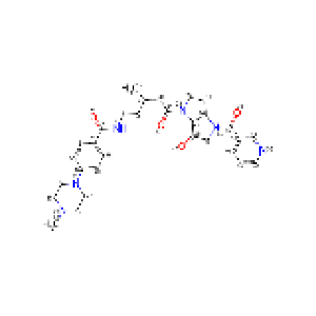 CC(CCNC(=O)c1ccc(N2CCN(C)CC2)cc1)CC(=O)N1CCC2C1C(=O)CN2C(=O)c1cccnc1